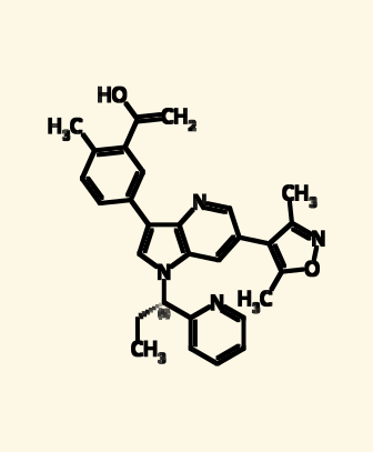 C=C(O)c1cc(-c2cn([C@@H](CC)c3ccccn3)c3cc(-c4c(C)noc4C)cnc23)ccc1C